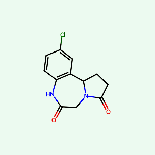 O=C1CN2C(=O)CCC2c2cc(Cl)ccc2N1